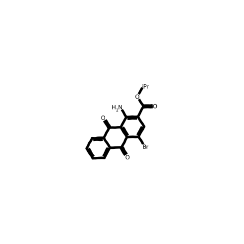 CC(C)OC(=O)c1cc(Br)c2c(c1N)C(=O)c1ccccc1C2=O